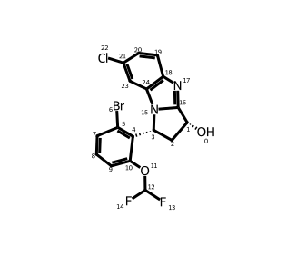 O[C@@H]1C[C@H](c2c(Br)cccc2OC(F)F)n2c1nc1ccc(Cl)cc12